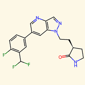 O=C1NCC[C@@H]1CCn1ncc2ncc(-c3ccc(F)c(C(F)F)c3)cc21